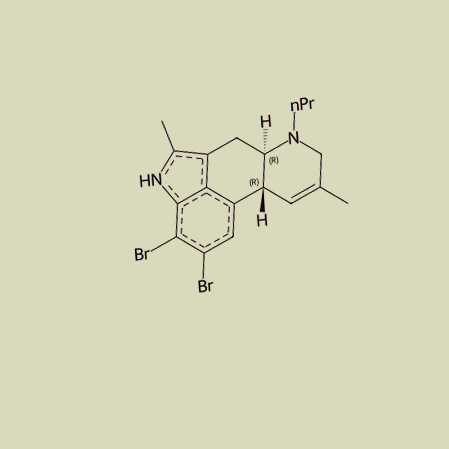 CCCN1CC(C)=C[C@@H]2c3cc(Br)c(Br)c4[nH]c(C)c(c34)C[C@H]21